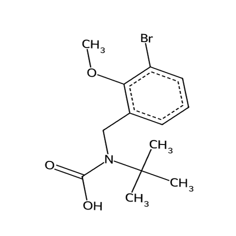 COc1c(Br)cccc1CN(C(=O)O)C(C)(C)C